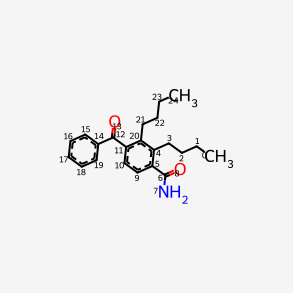 CCCCc1c(C(N)=O)ccc(C(=O)c2ccccc2)c1CCCC